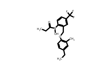 CCC(=O)N(O)c1ccc(C(F)(F)F)cc1COc1ccc(CC)cc1C